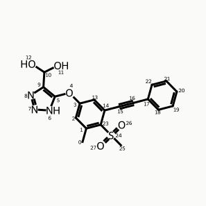 Cc1cc(Oc2[nH]nnc2C(O)O)cc(C#Cc2ccccc2)c1S(C)(=O)=O